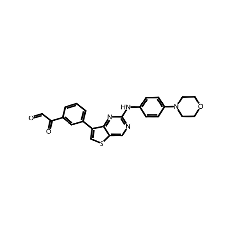 O=CC(=O)c1cccc(-c2csc3cnc(Nc4ccc(N5CCOCC5)cc4)nc23)c1